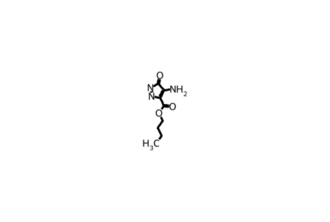 CCCCOC(=O)C1=C(N)C(=O)N=N1